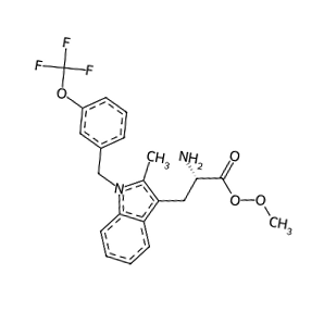 COOC(=O)[C@@H](N)Cc1c(C)n(Cc2cccc(OC(F)(F)F)c2)c2ccccc12